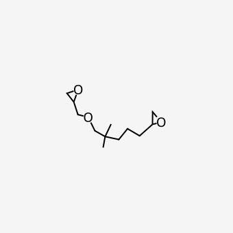 CC(C)(CCCC1CO1)COCC1CO1